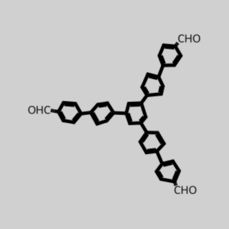 O=Cc1ccc(-c2ccc(-c3cc(-c4ccc(-c5ccc(C=O)cc5)cc4)cc(-c4ccc(-c5ccc(C=O)cc5)cc4)c3)cc2)cc1